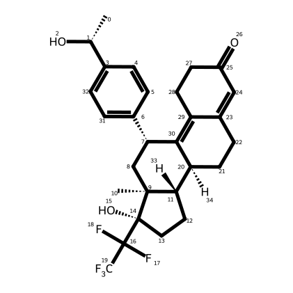 C[C@@H](O)c1ccc([C@H]2C[C@@]3(C)[C@@H](CC[C@@]3(O)C(F)(F)C(F)(F)F)[C@@H]3CCC4=CC(=O)CCC4=C32)cc1